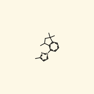 Cc1ccn(-c2cccc3c2C(C)CC3(C)C)n1